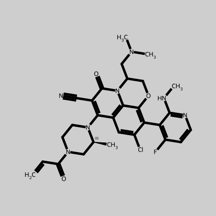 C=CC(=O)N1CCN(c2c(C#N)c(=O)n3c4c(c(-c5c(F)ccnc5NC)c(Cl)cc24)OCC3CN(C)C)[C@@H](C)C1